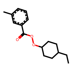 CCC1CC[C](OOC(=O)c2cccc(C)c2)CC1